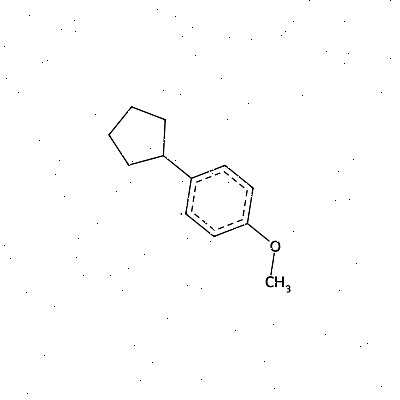 COc1c[c]c(C2CCCC2)cc1